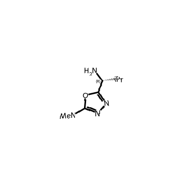 CNc1nnc([C@H](N)C(C)C)o1